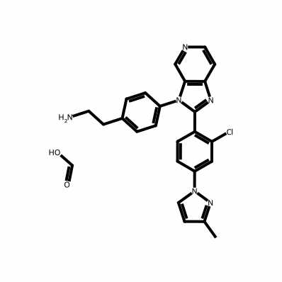 Cc1ccn(-c2ccc(-c3nc4ccncc4n3-c3ccc(CCN)cc3)c(Cl)c2)n1.O=CO